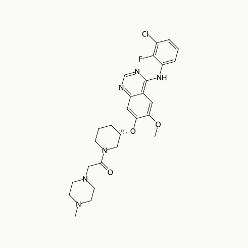 COc1cc2c(Nc3cccc(Cl)c3F)ncnc2cc1O[C@H]1CCCN(C(=O)CN2CCN(C)CC2)C1